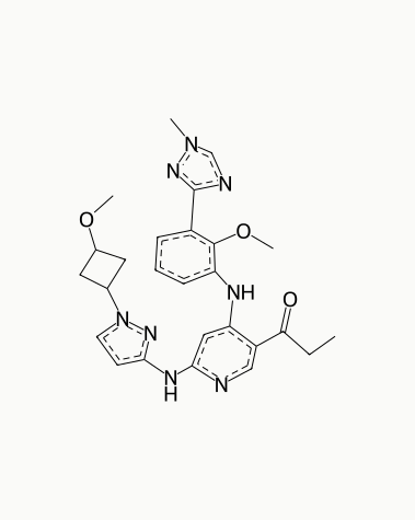 CCC(=O)c1cnc(Nc2ccn(C3CC(OC)C3)n2)cc1Nc1cccc(-c2ncn(C)n2)c1OC